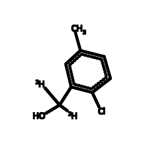 [2H]C([2H])(O)c1cc(C)ccc1Cl